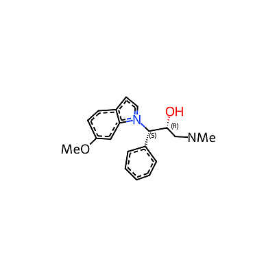 CNC[C@@H](O)[C@H](c1ccccc1)n1ccc2ccc(OC)cc21